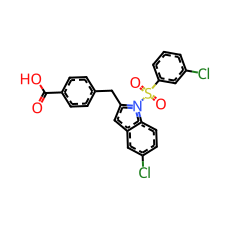 O=C(O)c1ccc(Cc2cc3cc(Cl)ccc3n2S(=O)(=O)c2cccc(Cl)c2)cc1